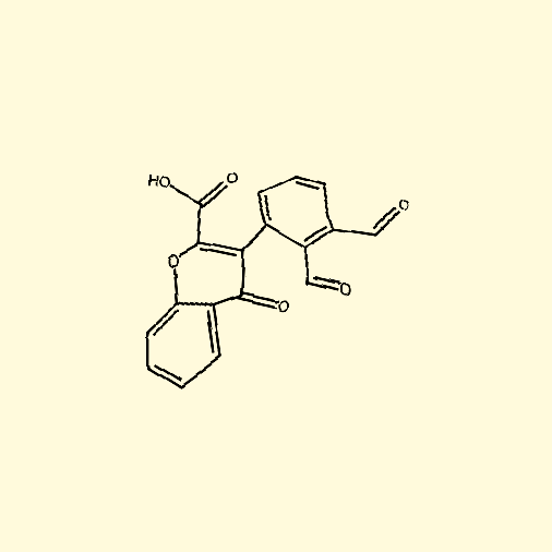 O=Cc1cccc(-c2c(C(=O)O)oc3ccccc3c2=O)c1C=O